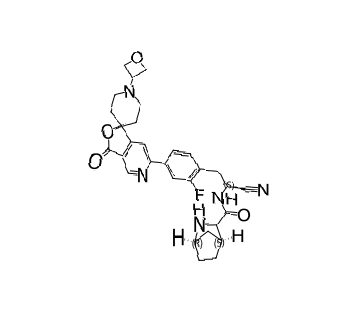 N#C[C@H](Cc1ccc(-c2cc3c(cn2)C(=O)OC32CCN(C3COC3)CC2)cc1F)NC(=O)C1N[C@@H]2CC[C@H]1C2